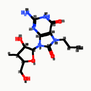 CC1C(CO)OC(n2c(=O)n(CCC(C)(C)C)c3c(=O)[nH]c(N)nc32)C1O